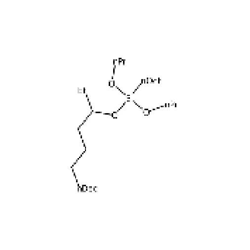 CCCCCCCCCCCCCC(CC)O[Si](CCCCCCCC)(OCCC)OCCC